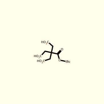 CC(C)(C)OC(=O)C(CC(=O)O)(CC(=O)O)CC(=O)O